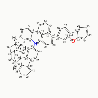 c1ccc(-c2ccccc2N(c2ccc(-c3ccc4c(c3)oc3ccccc34)cc2)c2ccc3c(c2)C2(c4ccccc4-3)[C@H]3CC4C[C@H](C3)C[C@@H]2C4)cc1